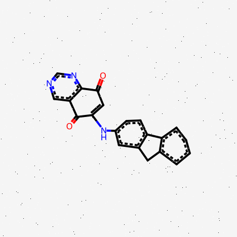 O=C1C(Nc2ccc3c(c2)Cc2ccccc2-3)=CC(=O)c2ncncc21